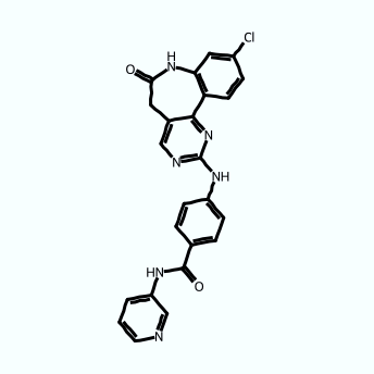 O=C1Cc2cnc(Nc3ccc(C(=O)Nc4cccnc4)cc3)nc2-c2ccc(Cl)cc2N1